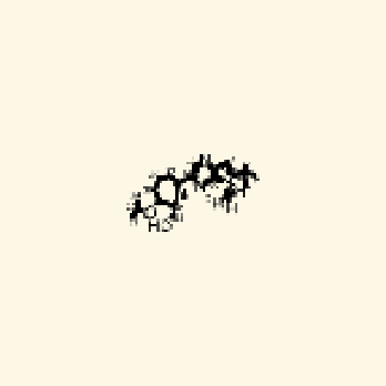 [2H]C([2H])([2H])n1c(C(C)(C)C)cc2ncc(C3=N[C@@H](CO)C(OC(C)C)CCC3)nc21